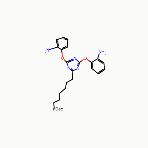 CCCCCCCCCCCCCCCCc1nc(Oc2ccccc2N)nc(Oc2ccccc2N)n1